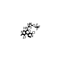 COc1c(C)ncc(C(=O)Nc2nnc(OCC(F)(F)F)s2)c1-c1ccnc(Cl)c1